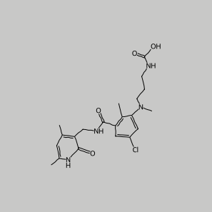 Cc1cc(C)c(CNC(=O)c2cc(Cl)cc(N(C)CCCNC(=O)O)c2C)c(=O)[nH]1